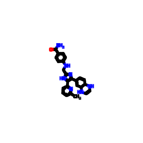 Cc1cccc(-c2[nH]c(CNc3ccc(C(N)=O)cc3)nc2C2=CC3NC=CNC3C=C2)n1